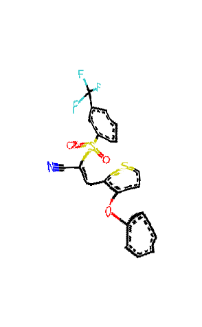 N#CC(=Cc1sccc1Oc1ccccc1)S(=O)(=O)c1cccc(C(F)(F)F)c1